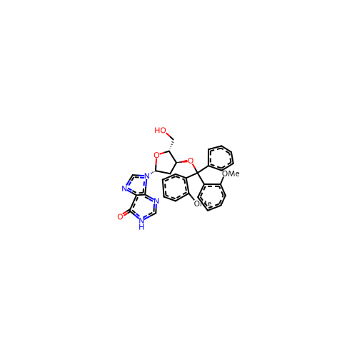 COc1ccccc1C(O[C@H]1C[C@H](n2cnc3c(=O)[nH]cnc32)O[C@@H]1CO)(c1ccccc1)c1ccccc1OC